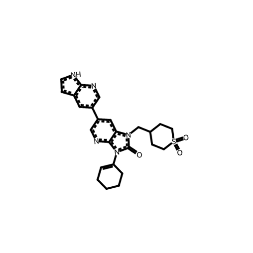 O=c1n(CC2CCS(=O)(=O)CC2)c2cc(-c3cnc4[nH]ccc4c3)cnc2n1C1=CCCCC1